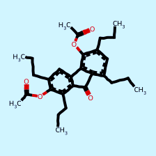 CCCc1cc2c(c(CCC)c1OC(C)=O)C(=O)c1c(CCC)cc(CCC)c(OC(C)=O)c1-2